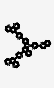 c1ccc2nc(-c3ccc(-n4c5ccc(-c6ccc(-c7cc8cccnc8c8ncccc78)cn6)cc5c5cc(-c6ccc(-c7cc8cccnc8c8ncccc78)cn6)c6ccccc6c54)nc3)ccc2c1